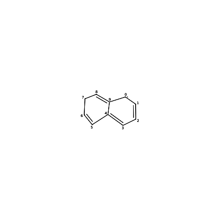 [CH]1C=CC=C2C=CCC=C12